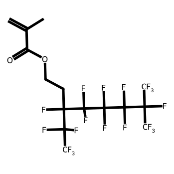 C=C(C)C(=O)OCCC(F)(C(F)(F)C(F)(F)F)C(F)(F)C(F)(F)C(F)(F)C(F)(C(F)(F)F)C(F)(F)F